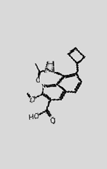 COc1nc2c(NC(C)=O)c(C3CCC3)ccc2cc1C(=O)O